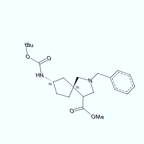 COC(=O)C1CN(Cc2ccccc2)C[C@]12CC[C@H](NC(=O)OC(C)(C)C)C2